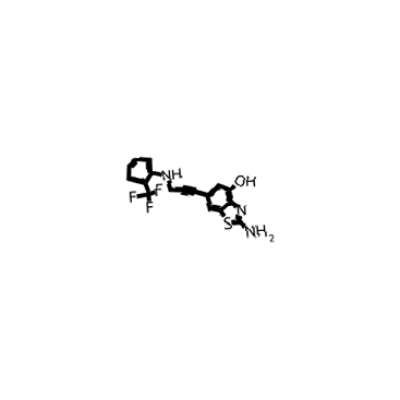 Nc1nc2c(O)cc(C#CCNc3ccccc3C(F)(F)F)cc2s1